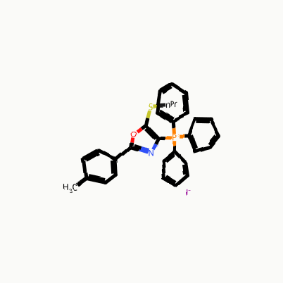 CCCSc1oc(-c2ccc(C)cc2)nc1[P+](c1ccccc1)(c1ccccc1)c1ccccc1.[I-]